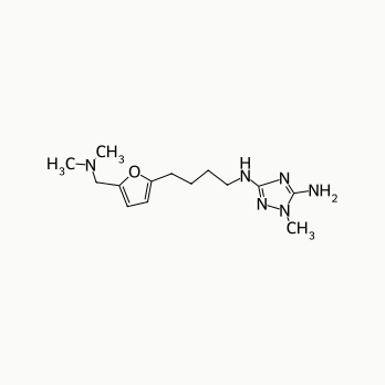 CN(C)Cc1ccc(CCCCNc2nc(N)n(C)n2)o1